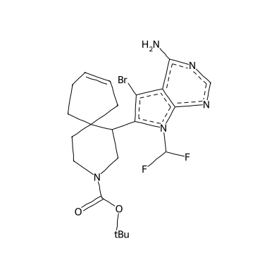 CC(C)(C)OC(=O)N1CCC2(CC=CCC2)C(c2c(Br)c3c(N)ncnc3n2C(F)F)C1